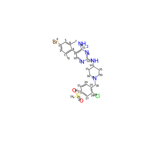 Cc1cc(Br)cc(C)c1-c1cnc(NC2CCN(Cc3ccc(S(C)(=O)=O)cc3Cl)CC2)nc1N